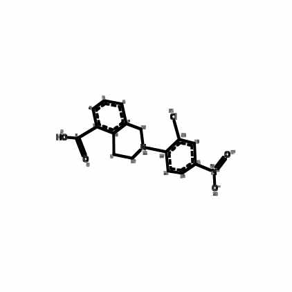 O=C(O)c1cccc2c1CCN(c1ccc([N+](=O)[O-])cc1Cl)C2